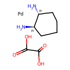 N[C@@H]1CCCC[C@H]1N.O=C(O)C(=O)O.[Pd]